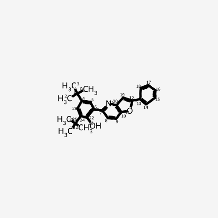 CC(C)(C)c1cc(-c2ccc3oc(-c4ccccc4)cc3n2)c(O)c(C(C)(C)C)c1